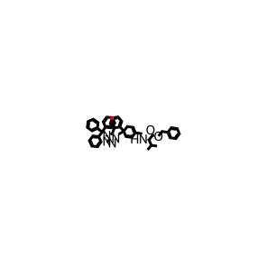 CC(C)[C@H](NCC1=CCC(C)(c2ccccc2-c2nnnn2C(c2ccccc2)(c2ccccc2)c2ccccc2)C=C1)C(=O)OCc1ccccc1